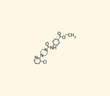 CCOC(=O)c1ccc(NC(=O)N2CCN(c3ncccc3Cl)CC2)cc1